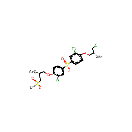 CCS(=O)(=O)C[C@@H](COc1ccc(S(=O)(=O)c2ccc(OC[C@H](CCl)OC(C)=O)c(Cl)c2)cc1Cl)OC(C)=O